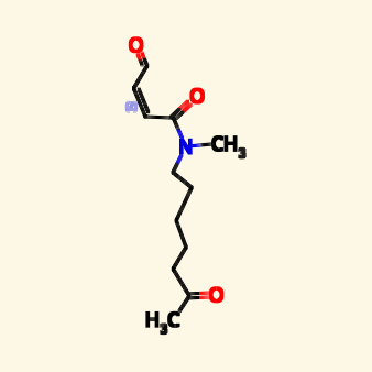 CC(=O)CCCCCN(C)C(=O)/C=C\C=O